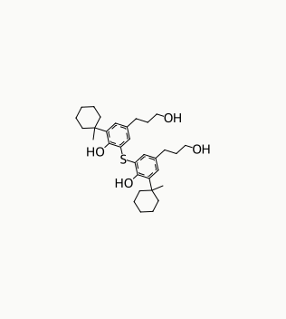 CC1(c2cc(CCCO)cc(Sc3cc(CCCO)cc(C4(C)CCCCC4)c3O)c2O)CCCCC1